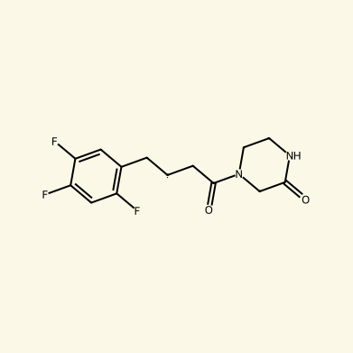 O=C1CN(C(=O)C[CH]Cc2cc(F)c(F)cc2F)CCN1